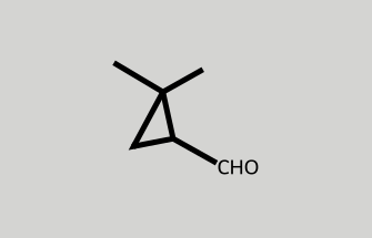 CC1(C)CC1C=O